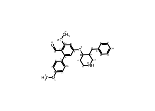 COc1ccc(-c2cc(OC3CCNCC3Cc3ccccc3)cc(OC)c2C=O)cc1